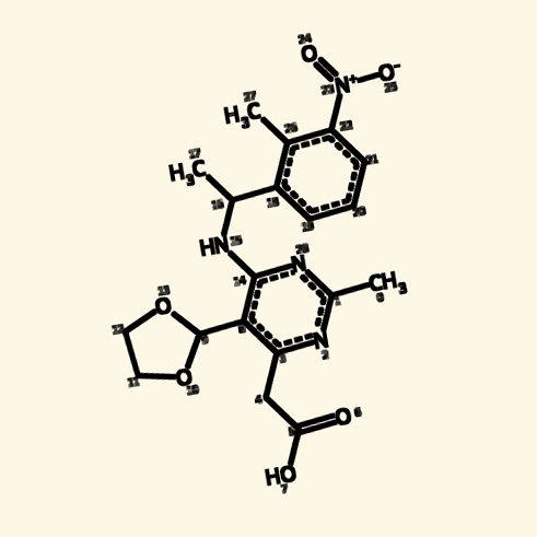 Cc1nc(CC(=O)O)c(C2OCCO2)c(NC(C)c2cccc([N+](=O)[O-])c2C)n1